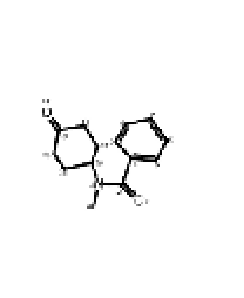 CN(C(=O)c1ccccc1)C1CCC(=O)CC1